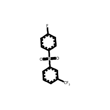 O=S(=O)(c1ccc(F)cc1)c1cccc(C(F)(F)F)c1